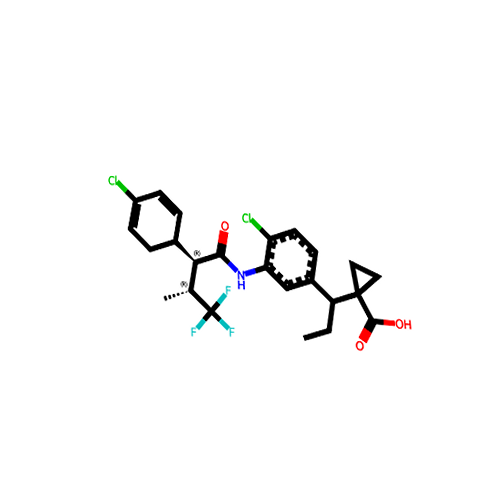 CCC(c1ccc(Cl)c(NC(=O)[C@H](C2C=CC(Cl)=CC2)[C@@H](C)C(F)(F)F)c1)C1(C(=O)O)CC1